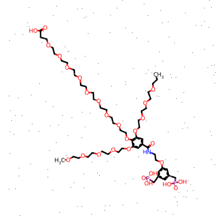 CCCOCCOCCOCCOc1cc(C(=O)NCCOc2cc(CP(=O)(O)O)cc(CP(=O)(O)O)c2)cc(OCCOCCOCCOCCOC)c1OCCOCCOCCOCCOCCOCCOCCOCCOCCC(=O)O